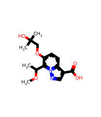 COC(C)c1c(OCC(C)(C)O)ccc2c(C(=O)O)cnn12